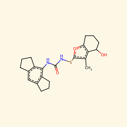 Cc1c(SNC(=O)Nc2c3c(cc4c2CCC4)CCC3)oc2c1C(O)CCC2